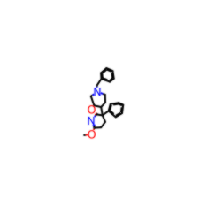 COC1=NC(=O)C(c2ccccc2)(C2CCN(Cc3ccccc3)CC2)CC1